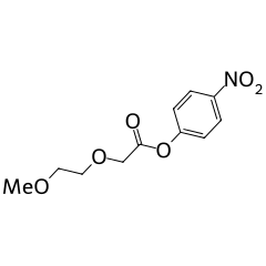 COCCOCC(=O)Oc1ccc([N+](=O)[O-])cc1